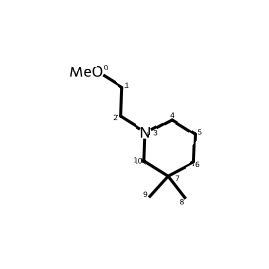 COCCN1CC[CH]C(C)(C)C1